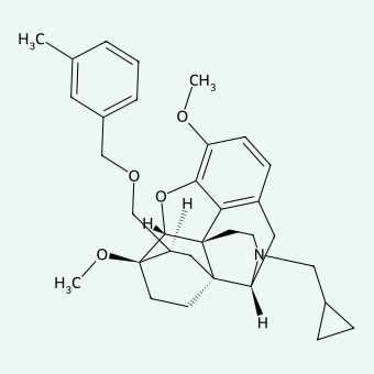 COc1ccc2c3c1O[C@H]1[C@@]4(OC)CC[C@@]5(C[C@@H]4COCc4cccc(C)c4)[C@@H](C2)N(CC2CC2)CC[C@]315